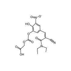 CCN(CC)C(=O)C(C#N)=Cc1cc(OC(=O)OCC(=O)O)c(O)c([N+](=O)[O-])c1